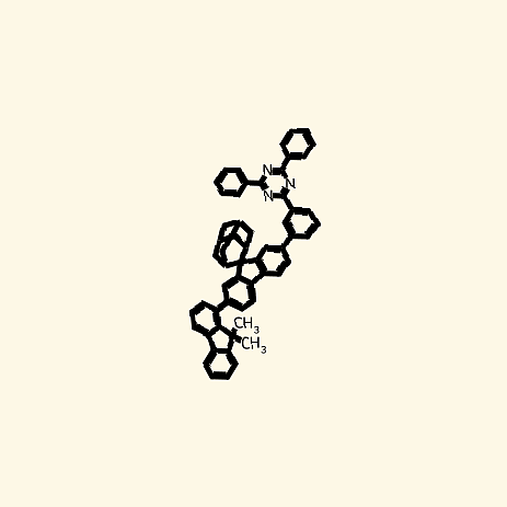 CC1(C)c2ccccc2-c2cccc(-c3ccc4c(c3)C3(c5cc(-c6cccc(-c7nc(-c8ccccc8)nc(-c8ccccc8)n7)c6)ccc5-4)C4CC5CC(C4)CC3C5)c21